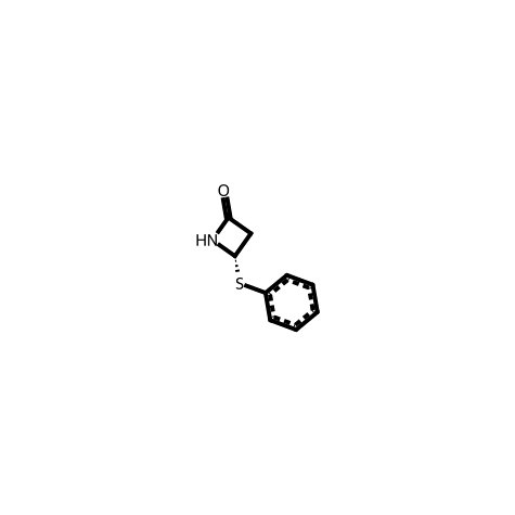 O=C1C[C@H](Sc2ccccc2)N1